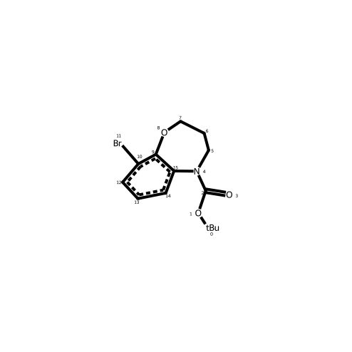 CC(C)(C)OC(=O)N1CCCOc2c(Br)cccc21